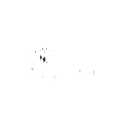 COc1ccc(F)c(-c2ccc(COc3cccc(C(CC(=O)O)C4CC4)c3)cc2C(C)(C)Cn2cc(CCCCCCCCCCCCCCCCCC(=O)O)nn2)c1